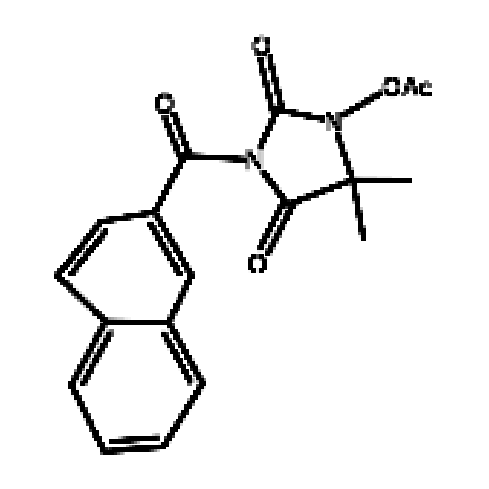 CC(=O)ON1C(=O)N(C(=O)c2ccc3ccccc3c2)C(=O)C1(C)C